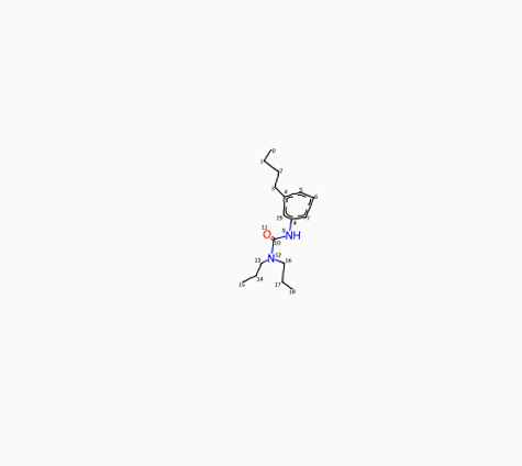 CCCCc1cccc(NC(=O)N(CCC)CCC)c1